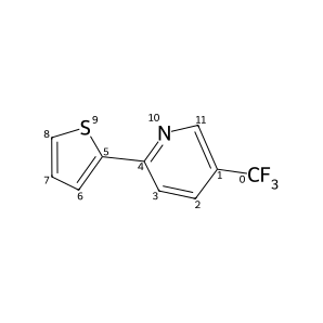 FC(F)(F)c1ccc(-c2cccs2)nc1